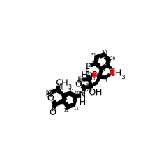 CCC(C)(CC(O)(C(=O)Nc1ccc2c(=O)onc(C)c2c1)C(F)(F)F)c1c(F)cccc1F